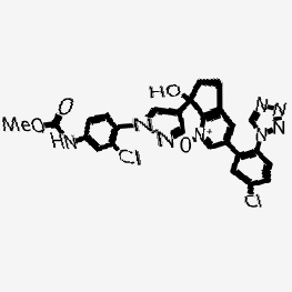 COC(=O)Nc1ccc(-n2cc(C3(O)CCc4cc(-c5cc(Cl)ccc5-n5cnnn5)c[n+]([O-])c43)cn2)c(Cl)c1